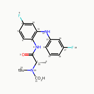 C[C@@H](C(=O)Nc1ccc(F)cc1Nc1cccc(F)c1)N(C(=O)O)C(C)(C)C